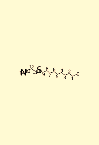 CCCCCCCCCCSCCC#N